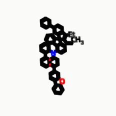 C/C=C\C1=C(CC)c2ccc(-c3ccccc3)cc2C12c1ccccc1-c1c(N(c3ccc(-c4ccc5c(c4)oc4ccccc45)cc3)c3ccccc3-c3ccccc3)cccc12